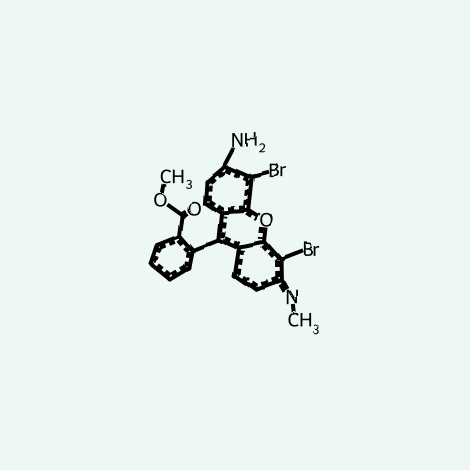 C/N=c1\ccc2c(-c3ccccc3C(=O)OC)c3ccc(N)c(Br)c3oc-2c1Br